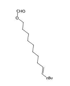 CCCCC=CCCCCCCCCOC=O